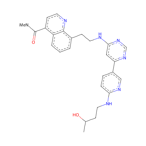 CNC(=O)c1ccnc2c(CCNc3cc(-c4ccc(NCCC(C)O)nc4)ncn3)cccc12